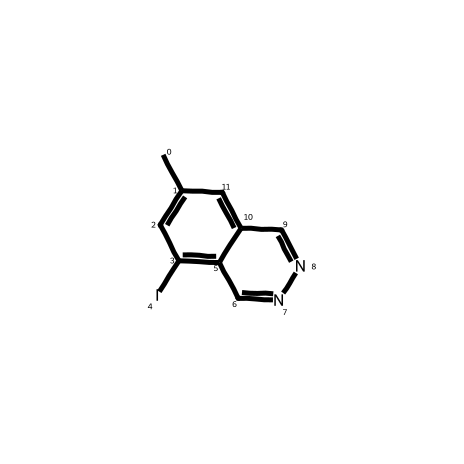 Cc1cc(I)c2cnncc2c1